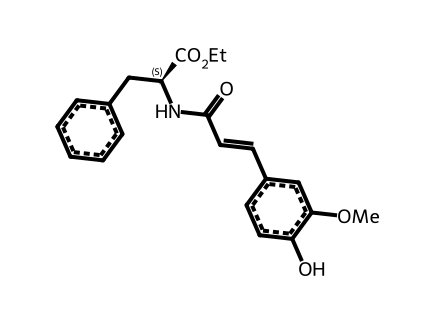 CCOC(=O)[C@H](Cc1ccccc1)NC(=O)C=Cc1ccc(O)c(OC)c1